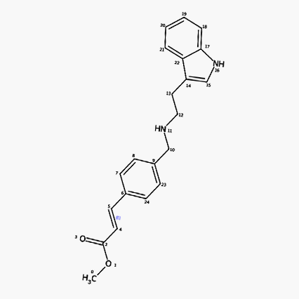 COC(=O)/C=C/c1ccc(CNCCc2c[nH]c3ccccc23)cc1